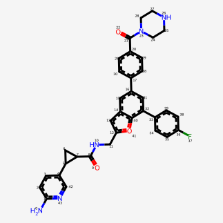 Nc1ccc(C2CC2C(=O)NCc2cc3cc(-c4ccc(C(=O)N5CCNCC5)cc4)cc(-c4ccc(F)cc4)c3o2)cn1